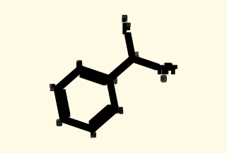 CCCC(F)c1[c]cccc1